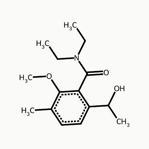 CCN(CC)C(=O)c1c(C(C)O)ccc(C)c1OC